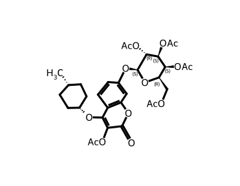 CC(=O)OC[C@H]1O[C@@H](Oc2ccc3c(O[C@H]4CC[C@@H](C)CC4)c(OC(C)=O)c(=O)oc3c2)[C@H](OC(C)=O)[C@@H](OC(C)=O)[C@H]1OC(C)=O